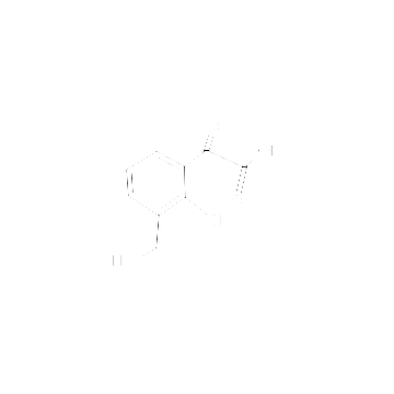 CCc1cccc(C(=O)C(=O)O)c1Cl